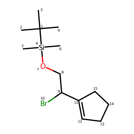 CC(C)(C)[Si](C)(C)OCC(Br)C1=CCCC1